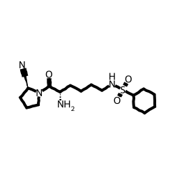 N#C[C@@H]1CCCN1C(=O)[C@@H](N)CCCCNS(=O)(=O)C1CCCCC1